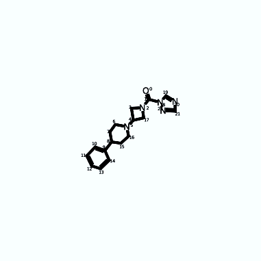 O=C(N1CC(N2CCC(c3ccccc3)CC2)C1)n1cncn1